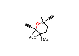 C#CC1(C)O[Si](C)(C#C)CCC1(OC(C)=O)OC(C)=O